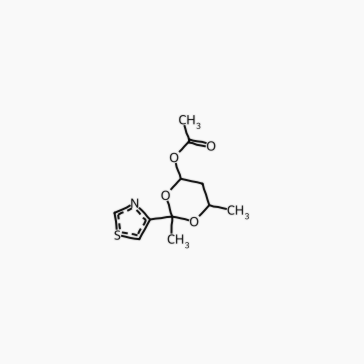 CC(=O)OC1CC(C)OC(C)(c2cscn2)O1